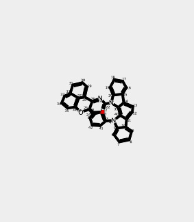 c1ccc(-n2c3ccccc3c3ccc4c5ccccc5n(-c5ncc6c(n5)-c5cccc7cccc(c57)O6)c4c32)cc1